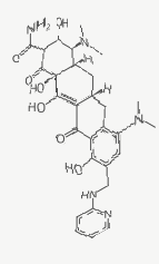 CN(C)c1cc(CNc2ccccn2)c(O)c2c1C[C@H]1C[C@H]3[C@H](N(C)C)C(O)C(C(N)=O)C(=O)[C@@]3(O)C(O)=C1C2=O